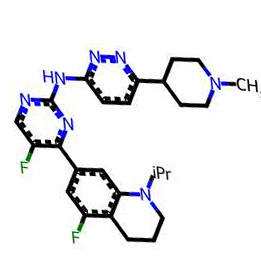 CC(C)N1CCCc2c(F)cc(-c3nc(Nc4ccc(C5CCN(C)CC5)nn4)ncc3F)cc21